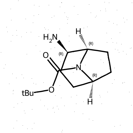 CC(C)(C)OC(=O)N1[C@@H]2CC[C@@H](N)[C@H]1CC2